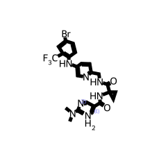 C=C(/N=C\C(=C/N)C(=O)NC1(C(=O)NCc2ccc(Nc3ccc(Br)cc3C(F)(F)F)cn2)CC1)N(C)C